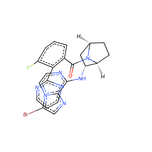 O=C(c1cccc(F)c1-c1ncccn1)N1[C@@H]2CC[C@H]1[C@H](Nc1nccn3c(Br)cnc13)C2